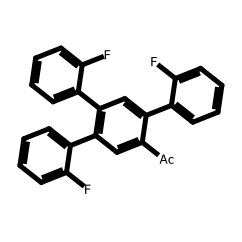 CC(=O)c1cc(-c2ccccc2F)c(-c2ccccc2F)cc1-c1ccccc1F